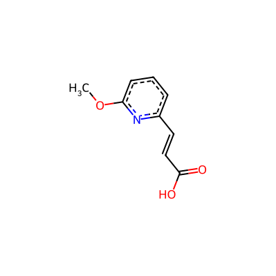 COc1cccc(C=CC(=O)O)n1